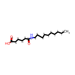 CCCCCCCCCCNC(=O)CCCCC(=O)O